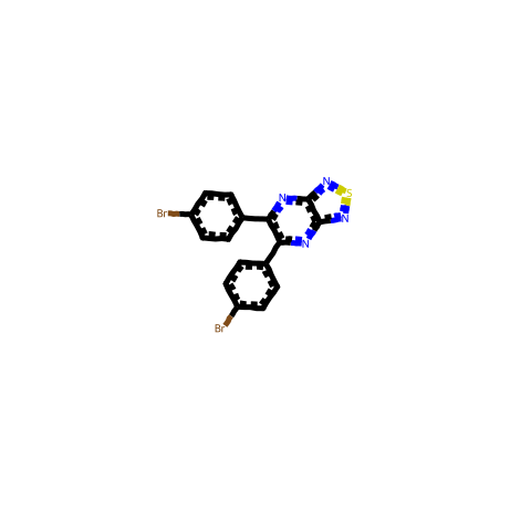 Brc1ccc(-c2nc3nsnc3nc2-c2ccc(Br)cc2)cc1